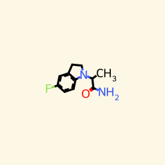 CC(C(N)=O)N1CCc2cc(F)ccc21